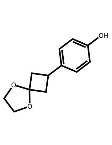 Oc1ccc(C2CC3(C2)OCCO3)cc1